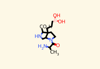 CC(N)C(=O)N1CCC2(CCCB(O)O)C(C(=O)O)NCC12